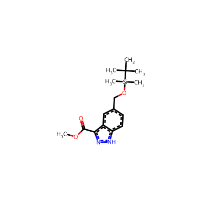 COC(=O)c1n[nH]c2ccc(CO[Si](C)(C)C(C)(C)C)cc12